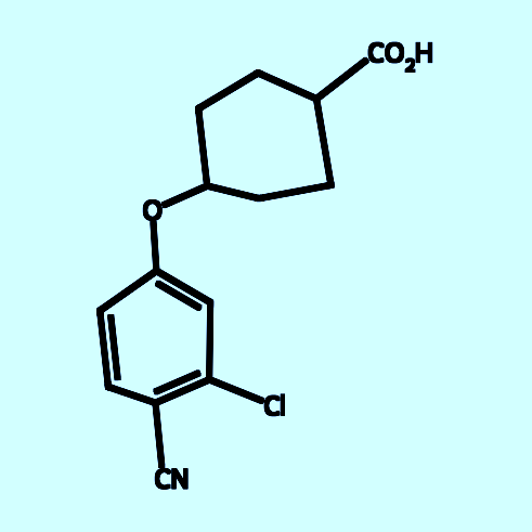 N#Cc1ccc(OC2CCC(C(=O)O)CC2)cc1Cl